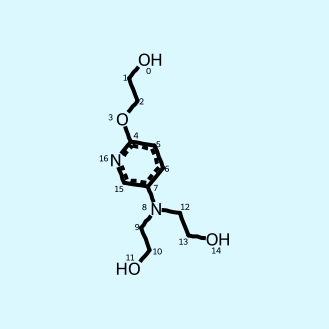 OCCOc1ccc(N(CCO)CCO)cn1